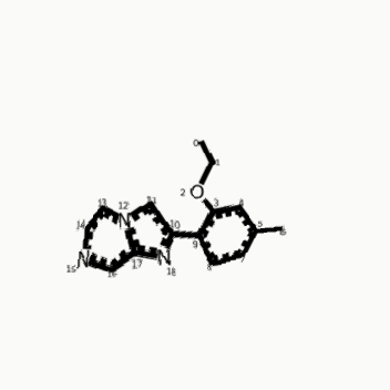 CCOc1cc(C)ccc1-c1cn2ccncc2n1